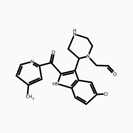 Cc1ccnc(C(=O)c2[nH]c3ccc(Cl)cc3c2C2CNCCN2CC=O)c1